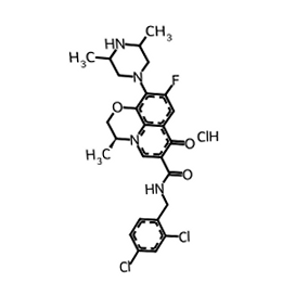 CC1CN(c2c(F)cc3c(=O)c(C(=O)NCc4ccc(Cl)cc4Cl)cn4c3c2OC[C@@H]4C)CC(C)N1.Cl